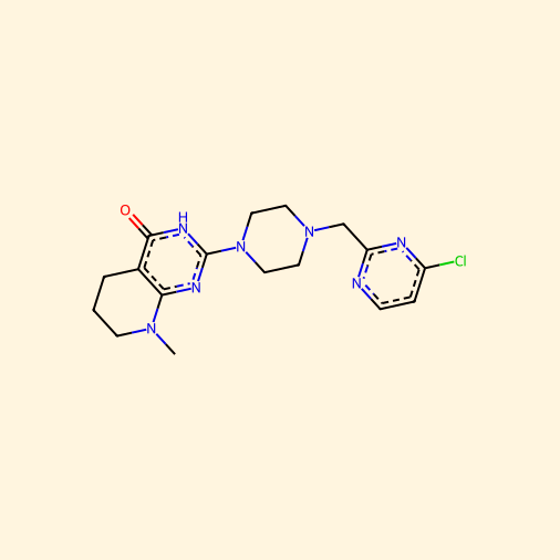 CN1CCCc2c1nc(N1CCN(Cc3nccc(Cl)n3)CC1)[nH]c2=O